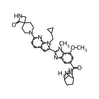 COc1cc(C(=O)N2CC3CCC2[C@@H]3N)cc2nc(-c3cc4ccc(N5CCC6(CC5)CNC6=O)nc4n3CC3CC3)n(C)c12